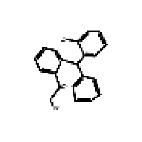 O=C(CBr)c1ccccc1[C](c1ccccc1)c1ccccc1Cl